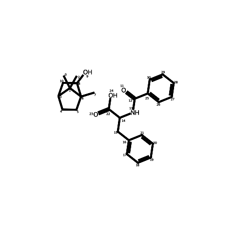 CC1(C)C2CCC1(C)C(O)C2.O=C(NC(Cc1ccccc1)C(=O)O)c1ccccc1